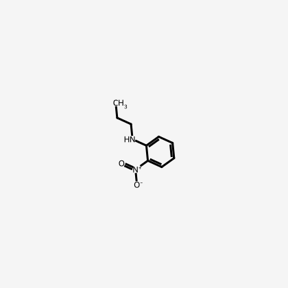 CCCNc1ccccc1[N+](=O)[O-]